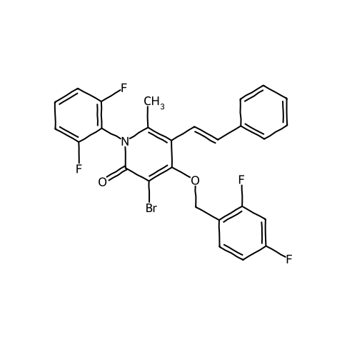 Cc1c(C=Cc2ccccc2)c(OCc2ccc(F)cc2F)c(Br)c(=O)n1-c1c(F)cccc1F